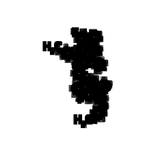 C=CC1=CCC(OC2=CCC(C3(C4=CC=C(F)CC4)C4C=C(N(C5=CC6C7=C(CCC(N(C8=CC=CCC8)c8ccc9c(c8)C(C8=CC=C(F)CC8)(C8C=CC(OC%10=CCC(C=C)C=C%10)=CC8)c8ccccc8-9)=C7)OC6C=C5)c5ccccc5)C=CC4C4C=CCCC43)C=C2)C=C1